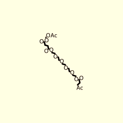 CC(=O)CCC(=O)OCCOCCOCCOCCOCCOC(=O)CCC(=O)OCOC(C)=O